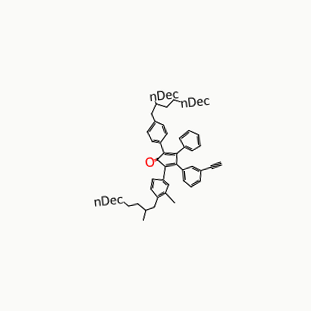 C#Cc1cccc(C2=C(c3ccc(CC(C)CCCCCCCCCCCC)c(C)c3)C(=O)C(c3ccc(CC(CCCCCCCCCC)CCCCCCCCCCCC)cc3)=C2c2ccccc2)c1